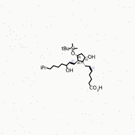 CC(C)CCCCC(O)/C=C/[C@@H]1[C@@H](C/C=C\CCCC(=O)O)[C@@H](O)C[C@H]1O[Si](C)(C)C(C)(C)C